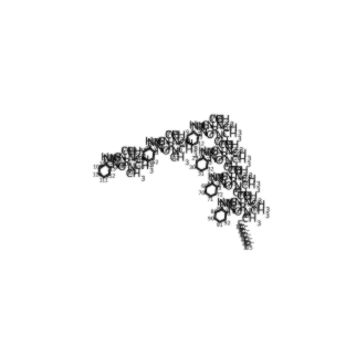 CN(C)[P+](On1nnc2ccccc21)(N(C)C)N(C)C.CN(C)[P+](On1nnc2ccccc21)(N(C)C)N(C)C.CN(C)[P+](On1nnc2ccccc21)(N(C)C)N(C)C.CN(C)[P+](On1nnc2ccccc21)(N(C)C)N(C)C.CN(C)[P+](On1nnc2ccccc21)(N(C)C)N(C)C.CN(C)[P+](On1nnc2ccccc21)(N(C)C)N(C)C.[F-].[F-].[F-].[F-].[F-].[F-]